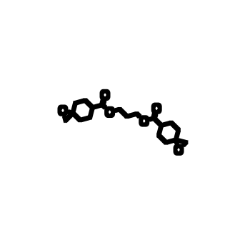 O=C(OCCCOC(=O)C1CCC2(CC1)CO2)C1CCC2(CC1)CO2